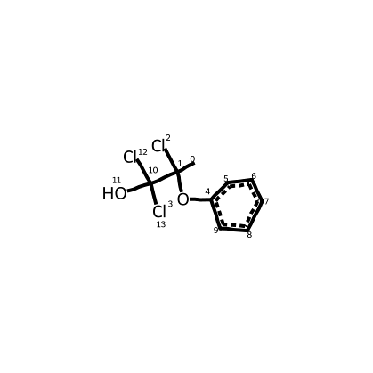 CC(Cl)(Oc1ccccc1)C(O)(Cl)Cl